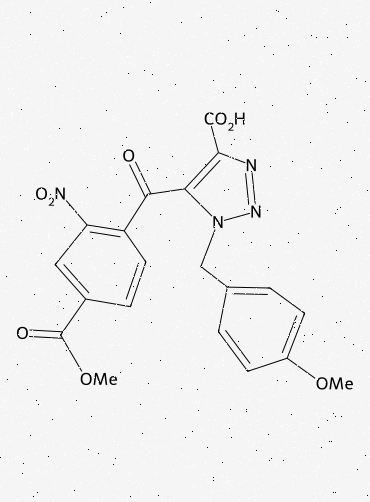 COC(=O)c1ccc(C(=O)c2c(C(=O)O)nnn2Cc2ccc(OC)cc2)c([N+](=O)[O-])c1